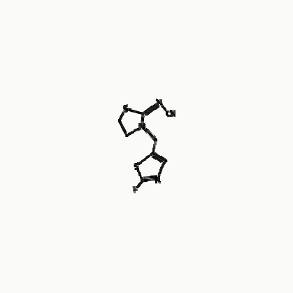 N#CN=C1SCCN1Cc1cnc(F)s1